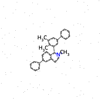 Cc1cc(-c2ccccc2)cc(-c2c3ccc(-c4ccccc4)cc3cc[n+]2C)c1C